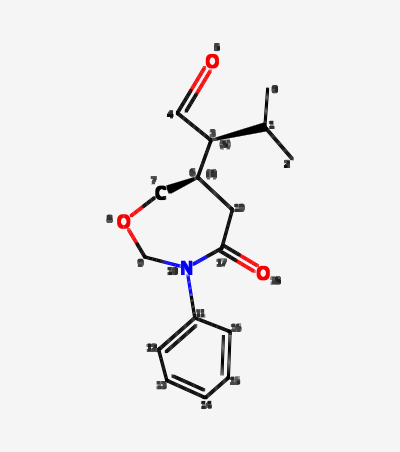 CC(C)[C@H](C=O)[C@@H]1COCN(c2ccccc2)C(=O)C1